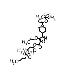 CCCCS(=O)(=O)N[C@H](N)CC(=O)OC(=O)c1onc(C2CCN(C(=O)OC(C)(C)C)CC2)c1OCCC